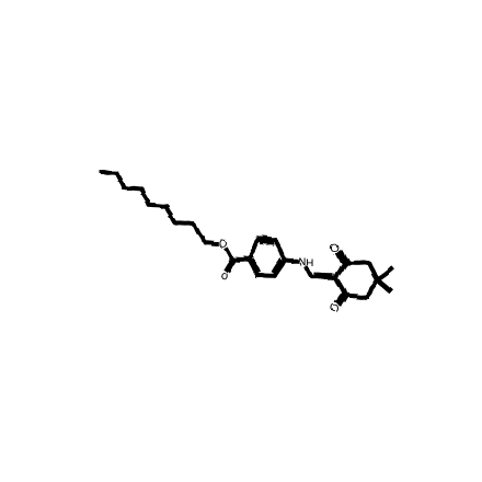 CCCCCCCCCOC(=O)c1ccc(NC=C2C(=O)CC(C)(C)CC2=O)cc1